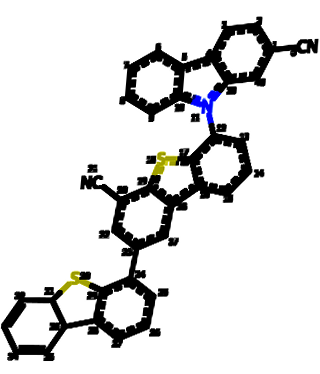 N#Cc1ccc2c3ccccc3n(-c3cccc4c3sc3c(C#N)cc(-c5cccc6c5SC5C=CC=CC65)cc34)c2c1